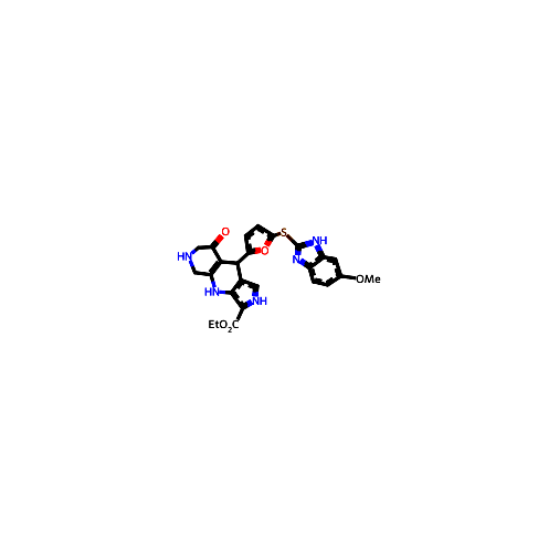 CCOC(=O)c1[nH]cc2c1NC1=C(C(=O)CNC1)C2c1ccc(Sc2nc3ccc(OC)cc3[nH]2)o1